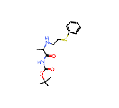 C[C@@H](NCCSc1ccccc1)C(=O)NC(=O)OC(C)(C)C